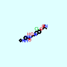 Cc1ncoc1COc1ccc2c(c1Cl)CCN(C[C@@H](O)CNC(=O)c1cccc(NC3CCC3)c1)C2